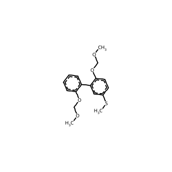 COCOc1ccccc1-c1cc(SC)ccc1OCOC